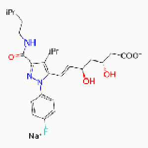 CC(C)CCNC(=O)c1nn(-c2ccc(F)cc2)c(C=C[C@H](O)C[C@@H](O)CC(=O)[O-])c1C(C)C.[Na+]